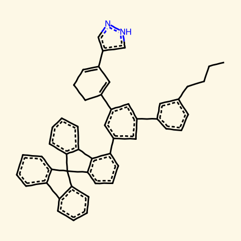 CCCCc1cccc(-c2cc(C3=CC(c4cn[nH]c4)=CCC3)cc(-c3cccc4c3-c3ccccc3C43c4ccccc4-c4ccccc43)c2)c1